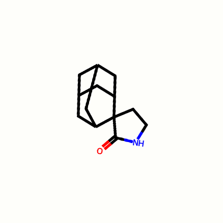 O=C1NCCC12C1CC3CC(C1)CC2C3